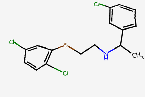 CC(NCCSc1cc(Cl)ccc1Cl)c1cccc(Cl)c1